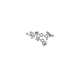 Cc1nc(-c2ccc3c(c2)OC(F)(F)O3)c(-c2cc(-c3cc(F)c(CO)c(S(C)(=O)=O)c3)ccc2-c2cc(C(F)(F)C(=O)NCC3CC3)nn2C)o1